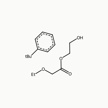 CC(C)(C)c1ccccc1.CCOCC(=O)OCCO